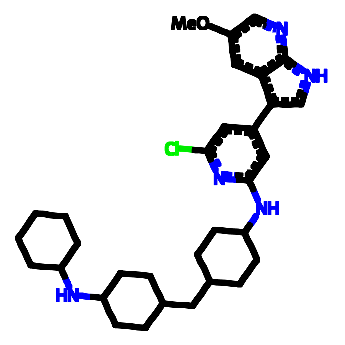 COc1cnc2[nH]cc(-c3cc(Cl)nc(NC4CCC(CC5CCC(NC6CCCCC6)CC5)CC4)c3)c2c1